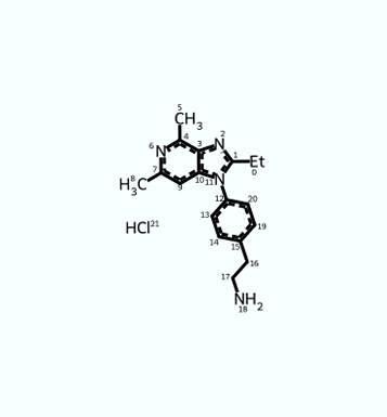 CCc1nc2c(C)nc(C)cc2n1-c1ccc(CCN)cc1.Cl